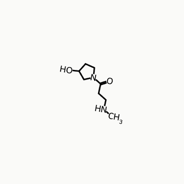 CNCCC(=O)N1CCC(O)C1